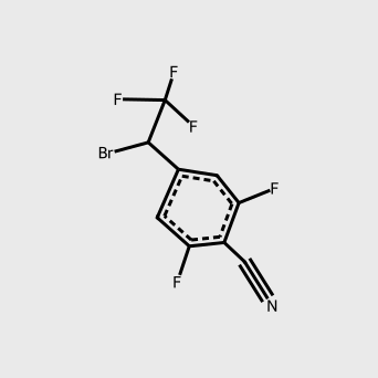 N#Cc1c(F)cc(C(Br)C(F)(F)F)cc1F